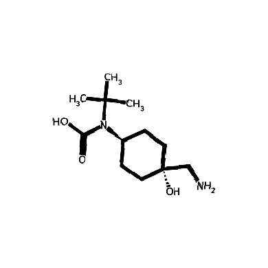 CC(C)(C)N(C(=O)O)[C@H]1CC[C@@](O)(CN)CC1